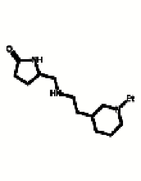 CCN1CCCC(CCNCC2CCC(=O)N2)C1